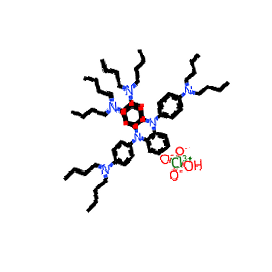 CCCCN(CCCC)c1ccc(N(c2ccc(N(CCCC)CCCC)cc2)c2ccccc2N(c2ccc(N(CCCC)CCCC)cc2)c2ccc(N(CCCC)CCCC)cc2)cc1.[O-][Cl+3]([O-])([O-])O